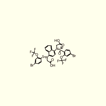 O=C(O)CN(Sc1ccc(Br)cc1OC(F)(F)F)c1ccc(N(CC(=O)O)S(=O)(=O)c2ccc(Br)cc2OC(F)(F)F)c2ccccc12